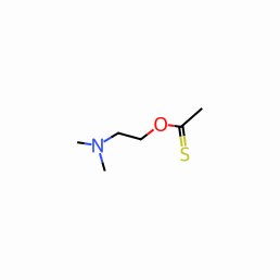 CC(=S)OCCN(C)C